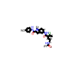 CCn1c(C(=O)Nc2ccc(C#N)cc2)cc2cc(NC(=O)c3cc(CNC(=O)C(C)C)ccc3Cl)ccc21